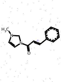 CN1C=CN(C(=O)/C=C/c2ccccc2)C1